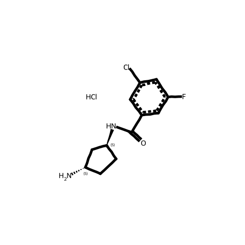 Cl.N[C@H]1CC[C@H](NC(=O)c2cc(F)cc(Cl)c2)C1